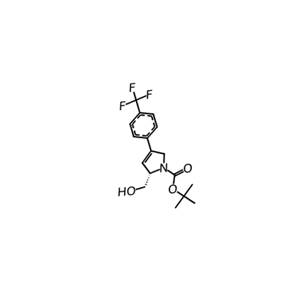 CC(C)(C)OC(=O)N1CC(c2ccc(C(F)(F)F)cc2)=C[C@H]1CO